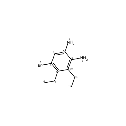 CCc1c(Br)cc(N)c(N)c1CC